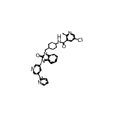 Cc1ncc(Cl)cc1C(=O)NC1CCC(Cn2c(=O)n(-c3cncc(-n4cccn4)c3)c3ccccc32)CC1